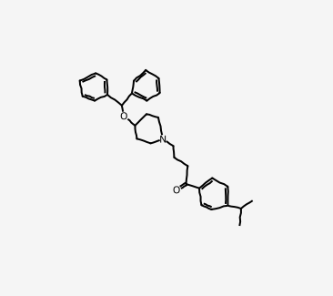 CC(C)c1ccc(C(=O)CCCN2CCC(OC(c3ccccc3)c3ccccc3)CC2)cc1